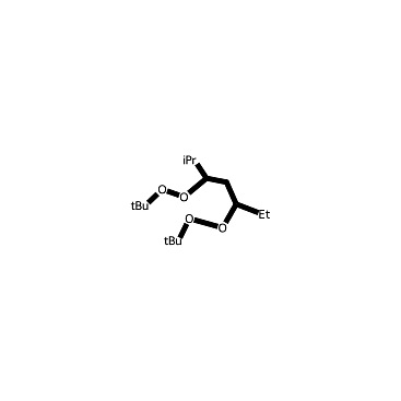 CCC(CC(OOC(C)(C)C)C(C)C)OOC(C)(C)C